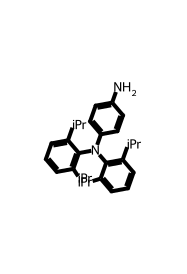 CC(C)c1cccc(C(C)C)c1N(c1ccc(N)cc1)c1c(C(C)C)cccc1C(C)C